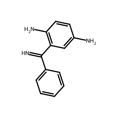 N=C(c1ccccc1)c1cc(N)ccc1N